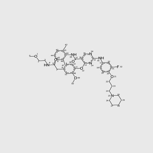 COCCNC(=O)Cc1ccc(Oc2nc(Nc3ccc(OCCCN4CCCCC4)c(F)c3)ncc2C(=O)Nc2c(C)cccc2C)c(OC)c1